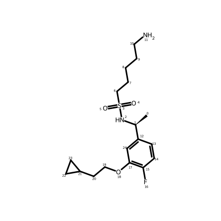 C[C@H](NS(=O)(=O)CCCCCN)c1ccc(F)c(OCCC2CC2)c1